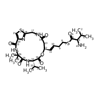 CC(C)C(N)C(=O)SCC/C=C/[C@@H]1CC(=O)NCc2nc(cs2)C(=O)NC(C)(C)C(=O)N[C@@H](C(C)C)C(=O)O1